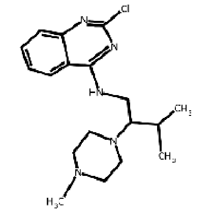 CC(C)C(CNc1nc(Cl)nc2ccccc12)N1CCN(C)CC1